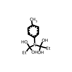 CCC(O)(O)N(c1ccc(C)cc1)C(O)(O)CC